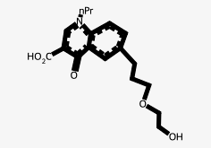 CCCn1cc(C(=O)O)c(=O)c2cc(CCCOCCO)ccc21